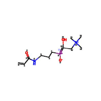 C=CC(=O)NCCC/[P+]([O-])=C(\O)C[N+](C)(C)C